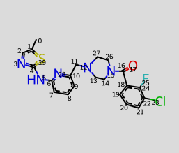 Cc1cnc(Nc2cccc(CN3CCN(C(=O)c4cccc(Cl)c4F)CC3)n2)s1